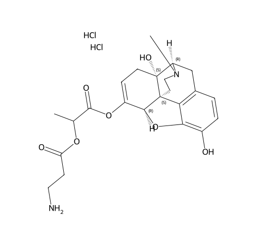 CC(OC(=O)CCN)C(=O)OC1=CC[C@@]2(O)[C@H]3Cc4ccc(O)c5c4[C@@]2(CCN3C)[C@H]1O5.Cl.Cl